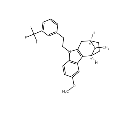 COc1ccc2c(c1)c1c(n2CCc2cccc(C(F)(F)F)c2)C[C@H]2CC[C@@H]1N2C